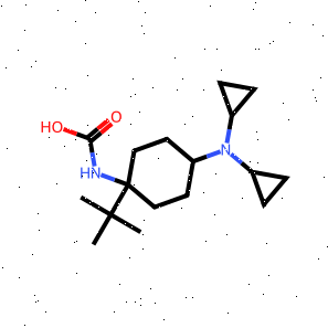 CC(C)(C)C1(NC(=O)O)CCC(N(C2CC2)C2CC2)CC1